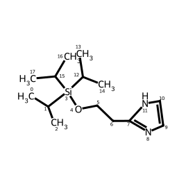 CC(C)[Si](OCCc1ncc[nH]1)(C(C)C)C(C)C